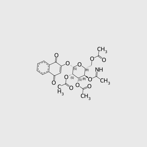 CC(=N)O[C@H]1[C@H](OC(C)=O)[C@H](OC(C)=O)[C@H](OC2=CC(=O)c3ccccc3C2=O)O[C@@H]1COC(C)=O